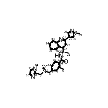 Cc1cc(C[S+]([O-])Cc2nccn2C)ccc1C(=O)N[C@H](C)c1cc(-c2cnn(C)c2)nc2ccccc12